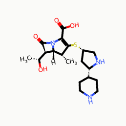 C[C@@H](O)[C@H]1C(=O)N2C(C(=O)O)=C(S[C@@H]3CN[C@H](C4CCNCC4)C3)[C@H](C)[C@H]12